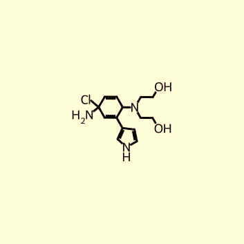 NC1(Cl)C=CC(N(CCO)CCO)C(c2cc[nH]c2)=C1